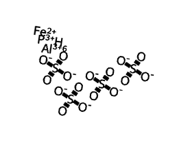 O=S(=O)([O-])[O-].O=S(=O)([O-])[O-].O=S(=O)([O-])[O-].O=S(=O)([O-])[O-].[Al+3].[Fe+2].[PH6+3]